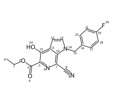 CCOC(=O)c1nc(C#N)c2c(ccn2Cc2ccc(F)cc2)c1O